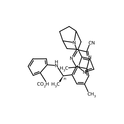 Cc1cc([C@@H](C)Nc2ccccc2C(=O)O)c2nc(N3C4CCC3CC(c3ccnn3C)C4)c(C#N)nc2c1